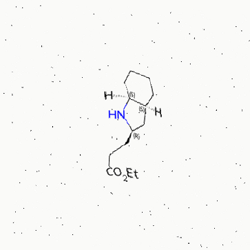 CCOC(=O)CC[C@@H]1C[C@@H]2CCCC[C@@H]2N1